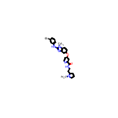 CN1CCCC1CCNC(=O)c1cc(Oc2ccc3c(c2)nc(Nc2cccc(C(C)(C)C)c2)n3C)ccn1